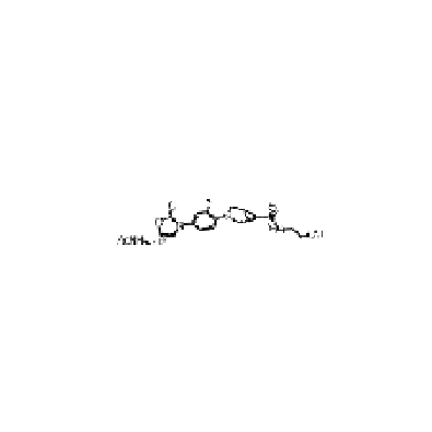 CC(=O)NC[C@H]1CN(c2ccc(N3CC4C(C3)C4C(=O)NCCO)c(F)c2)C(=O)O1